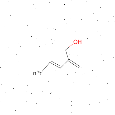 [CH]=C(C=CCCC)CO